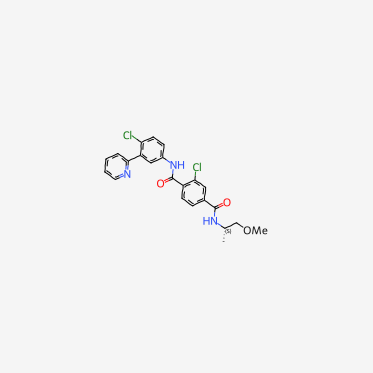 COC[C@H](C)NC(=O)c1ccc(C(=O)Nc2ccc(Cl)c(-c3ccccn3)c2)c(Cl)c1